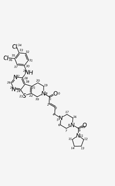 O=C(C=CCN1CCN(C(=O)N2CCCC2)CC1)N1CCc2c(sc3ncnc(Nc4ccc(Cl)c(Cl)c4)c23)C1